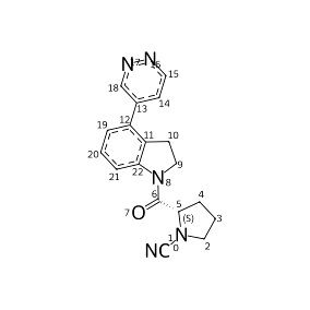 N#CN1CCC[C@H]1C(=O)N1CCc2c(-c3ccnnc3)cccc21